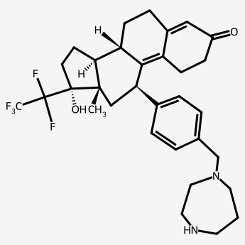 C[C@]12C[C@H](c3ccc(CN4CCCNCC4)cc3)C3=C4CCC(=O)C=C4CC[C@H]3[C@@H]1CC[C@]2(O)C(F)(F)C(F)(F)F